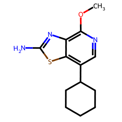 COc1ncc(C2CCCCC2)c2sc(N)nc12